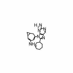 NC1=CC2CC2CC(n2c(C3CCCCCC3)nc3cnc(N)nc32)=C1